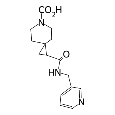 O=C(NCc1cccnc1)C1CC12CCN(C(=O)O)CC2